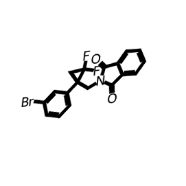 O=C1c2ccccc2C(=O)N1CC1(c2cccc(Br)c2)CC1(F)F